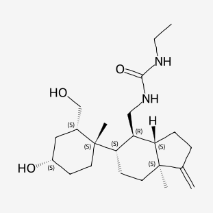 C=C1CC[C@H]2[C@H](CNC(=O)NCC)[C@@H]([C@]3(C)CC[C@H](O)C[C@@H]3CO)CC[C@]12C